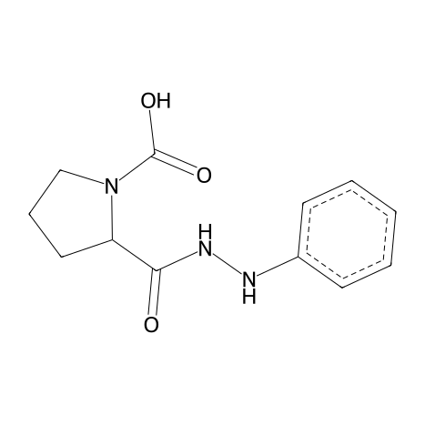 O=C(NNc1ccccc1)C1CCCN1C(=O)O